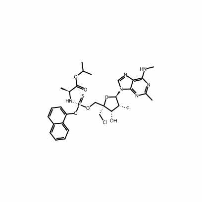 CNc1nc(C)nc2c1ncn2[C@@H]1O[C@](CCl)(CO[P@@](=S)(N[C@@H](C)C(=O)OC(C)C)Oc2cccc3ccccc23)[C@@H](O)[C@H]1F